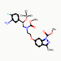 CC[Si](CC)(CC)O[C@@H](CN(CCOc1ccc2c(OC)nn(C(=O)OC(C)(C)C)c2c1)C(=O)OC(C)(C)C)c1ccc(F)c(N)c1